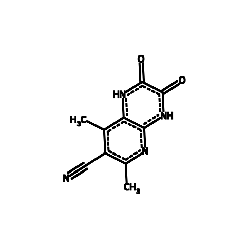 Cc1nc2[nH]c(=O)c(=O)[nH]c2c(C)c1C#N